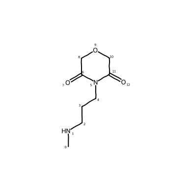 CNCCCN1C(=O)COCC1=O